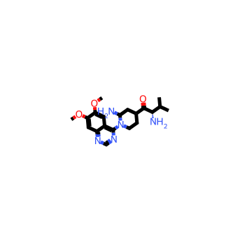 COc1cc2ncnc(N3CCC(C(=O)[C@@H](N)C(C)C)CC3N)c2cc1OC